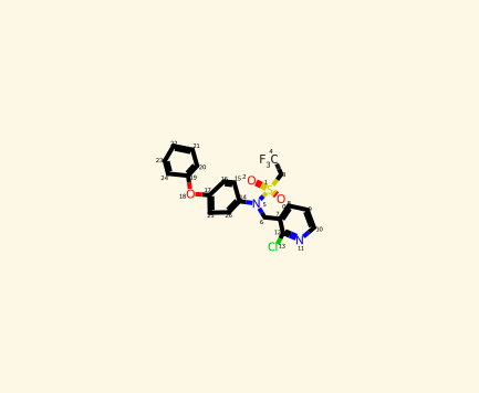 O=S(=O)(CC(F)(F)F)N(Cc1cccnc1Cl)c1ccc(Oc2ccccc2)cc1